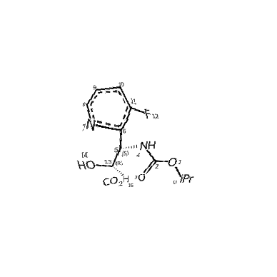 CC(C)OC(=O)N[C@@H](c1ncccc1F)[C@@H](O)C(=O)O